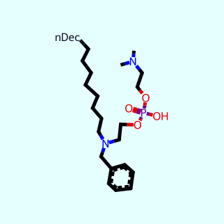 CCCCCCCCCCCCCCCCCCN(CCOP(=O)(O)OCCN(C)C)Cc1ccccc1